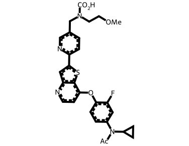 COCCN(Cc1ccc(-c2cc3nccc(Oc4ccc(N(C(C)=O)C5CC5)cc4F)c3s2)nc1)C(=O)O